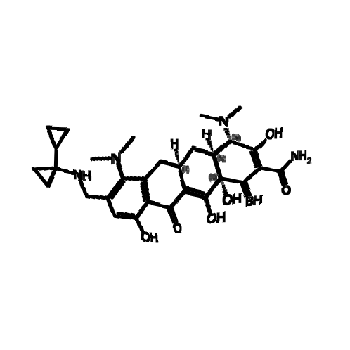 B=C1C(C(N)=O)=C(O)[C@@H](N(C)C)[C@@H]2C[C@@H]3Cc4c(c(O)cc(CNC5(C6CC6)CC5)c4N(C)C)C(=O)C3=C(O)[C@]12O